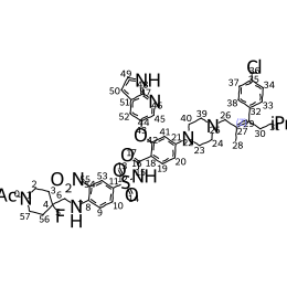 CC(=O)N1CCC(F)(CNc2ccc(S(=O)(=O)NC(=O)c3ccc(N4CCN(C/C(C)=C(/CC(C)C)c5ccc(Cl)cc5)CC4)cc3Oc3cnc4[nH]ccc4c3)cc2[N+](=O)[O-])CC1